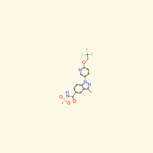 Cc1nn(-c2ccc(OCC(F)(F)F)nc2)c2ccc(C(=O)NS(C)(=O)=O)cc12